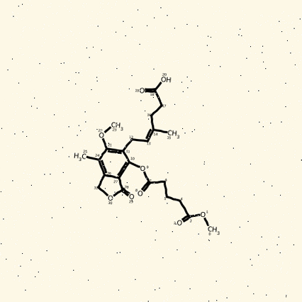 COC(=O)CCCC(=O)Oc1c(CC=C(C)CCC(=O)O)c(OC)c(C)c2c1C(=O)OC2